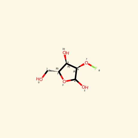 OC[C@H]1OC(O)[C@H](OF)[C@@H]1O